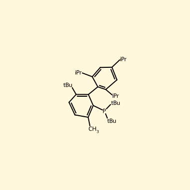 Cc1ccc(C(C)(C)C)c(-c2c(C(C)C)cc(C(C)C)cc2C(C)C)c1P(C(C)(C)C)C(C)(C)C